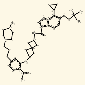 CN1CCN(CCCc2ccc(C(N)=O)c(OC3CC4(CC(NC(=O)c5cnn6c(C7CC7)c(OCC(C)(C)O)ccc56)C4)C3)c2)CC1